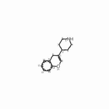 C1=C(C2CCNCC2)Cc2ccccc2O1